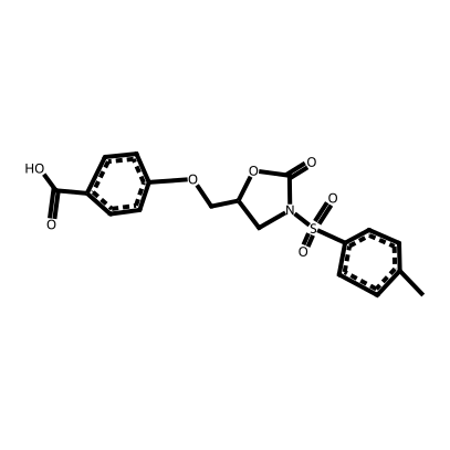 Cc1ccc(S(=O)(=O)N2CC(COc3ccc(C(=O)O)cc3)OC2=O)cc1